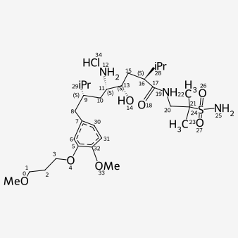 COCCCOc1cc(C[C@@H](C[C@H](N)[C@@H](O)C[C@H](C(=O)NCC(C)(C)S(N)(=O)=O)C(C)C)C(C)C)ccc1OC.Cl